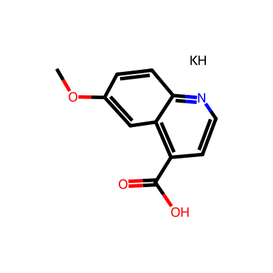 COc1ccc2nccc(C(=O)O)c2c1.[KH]